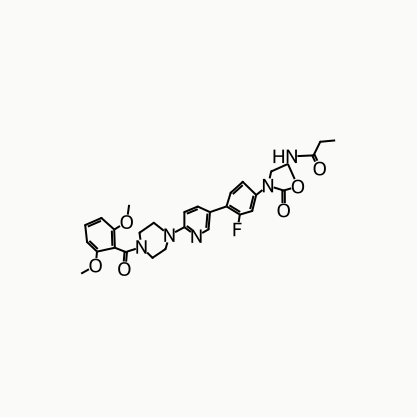 CCC(=O)NC1CN(c2ccc(-c3ccc(N4CCN(C(=O)c5c(OC)cccc5OC)CC4)nc3)c(F)c2)C(=O)O1